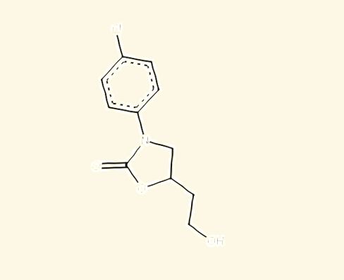 O=C1OC(CCO)CN1c1ccc(Cl)cc1